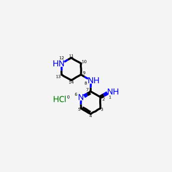 Cl.N=C1CC=CN=C1NC1CCNCC1